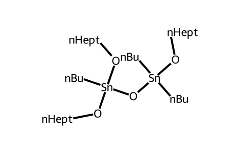 CCCCCCC[O][Sn]([CH2]CCC)([CH2]CCC)[O][Sn]([CH2]CCC)([O]CCCCCCC)[O]CCCCCCC